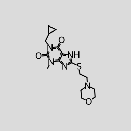 Cn1c(=O)n(CC2CC2)c(=O)c2[nH]c(SCCN3CCOCC3)nc21